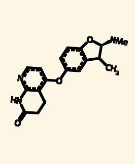 CN[C@@H]1Oc2ccc(Oc3ccnc4c3CCC(=O)N4)cc2C1C